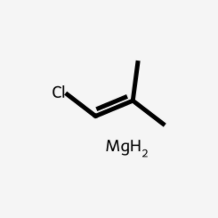 CC(C)=CCl.[MgH2]